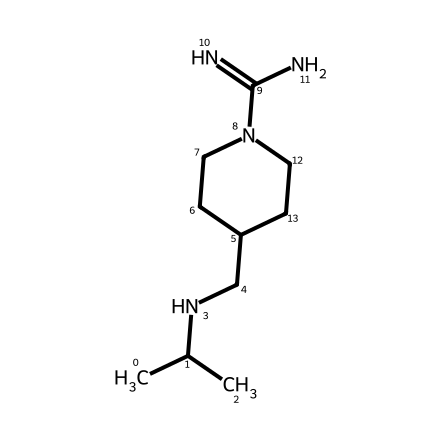 CC(C)NCC1CCN(C(=N)N)CC1